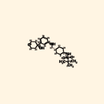 CC(C)(C)S(=O)(=O)N[C@H]1CC[C@H](CNc2cccc(C3(O)CCOCC3)c2)CC1